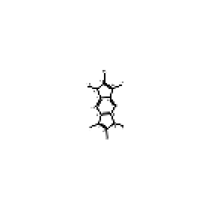 CC1=C(C)C(C)c2cc3c(cc21)C(C)C(C)=C3C